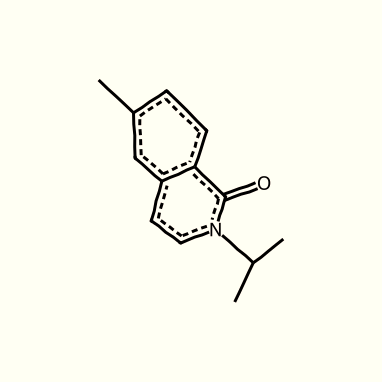 Cc1ccc2c(=O)n(C(C)C)ccc2c1